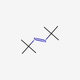 CC(C)(C)N=NC(C)(C)C